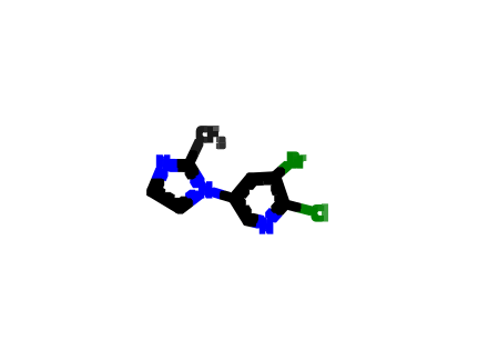 FC(F)(F)c1nccn1-c1cnc(Cl)c(Br)c1